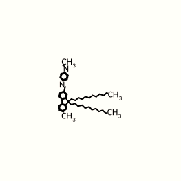 C/C=N/c1ccc(/N=C/c2ccc3c(c2)C(CCCCCCCCCCCC)(CCCCCCCCCCCC)c2cc(C)ccc2-3)cc1